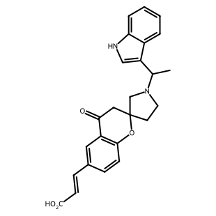 CC(c1c[nH]c2ccccc12)N1CCC2(CC(=O)c3cc(/C=C/C(=O)O)ccc3O2)C1